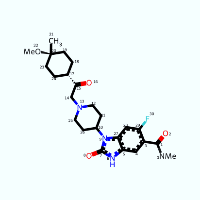 CNC(=O)c1cc2[nH]c(=O)n(C3CCN(CC(=O)[C@H]4CC[C@](C)(OC)CC4)CC3)c2cc1F